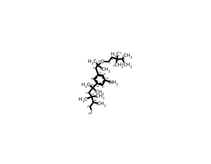 CC(C)C(C)(C)CCOC(C)(C)Cc1cc(N)cc(C(C)(C)CC(C)(C)C(C)CI)c1